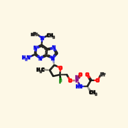 CCCN(C)c1nc(N)nc2c1ncn2[C@@H]1O[C@](F)(CO[PH](=O)N[C@@H](C)C(=O)OC(C)C)C[C@@H]1C